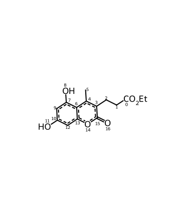 CCOC(=O)CCc1c(C)c2c(O)cc(O)cc2oc1=O